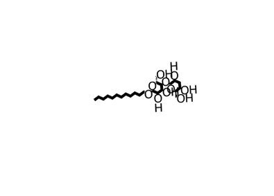 CCCCCCCCCCCCO[C@H]1O[C@H](CO)[C@@H](O[C@H]2O[C@H](CO)[C@@H](O)C[C@H]2O)[C@H](O)[C@H]1O